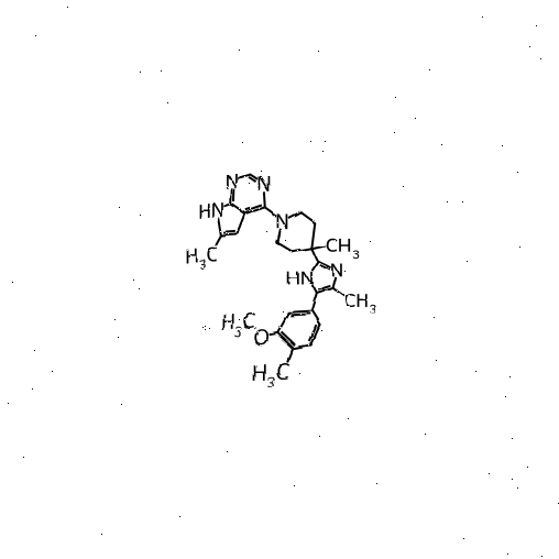 COc1cc(-c2[nH]c(C3(C)CCN(c4ncnc5[nH]c(C)cc45)CC3)nc2C)ccc1C